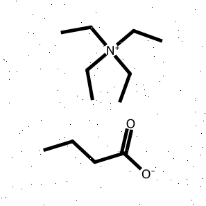 CCCC(=O)[O-].CC[N+](CC)(CC)CC